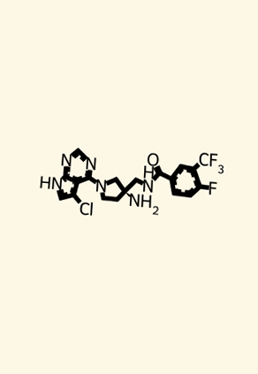 N[C@]1(CNC(=O)c2ccc(F)c(C(F)(F)F)c2)CCN(c2ncnc3[nH]cc(Cl)c23)C1